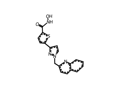 O=C(NO)c1ccc(-c2ccn(Cc3ccc4ccccc4n3)n2)s1